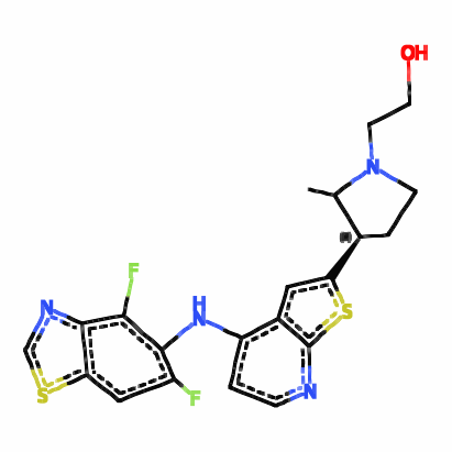 CC1[C@H](c2cc3c(Nc4c(F)cc5scnc5c4F)ccnc3s2)CCN1CCO